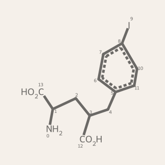 NC(CC(Cc1ccc(I)cc1)C(=O)O)C(=O)O